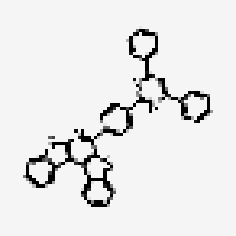 c1ccc(-c2cc(-c3ccccc3)nc(-c3ccc(-c4nc5sc6ccccc6c5c5c4sc4ccccc45)cc3)n2)cc1